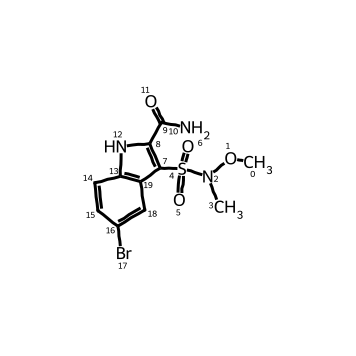 CON(C)S(=O)(=O)c1c(C(N)=O)[nH]c2ccc(Br)cc12